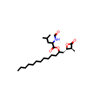 CCCCCCCCCCCC(C[C@@H]1OC(=O)[C@H]1C)OC(=O)C(CC(C)C)NC=O